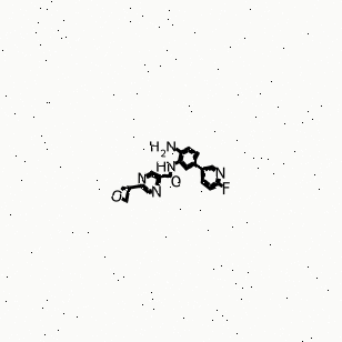 Nc1ccc(-c2ccc(F)nc2)cc1NC(=O)c1cnc(C2COC2)cn1